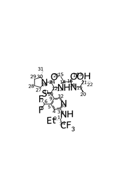 CC[C@H](Nc1cc(C(F)F)c(C(=S)C(/N=C(\C)C(=O)N[C@H](C)[C@@H](C)O)C(=O)N2CCC[C@@H]2C)cn1)C(F)(F)F